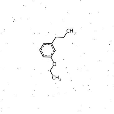 C[CH]Oc1cccc(CCC)c1